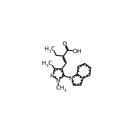 CCC(=Cc1c(C)nn(C)c1-n1ccc2ccccc21)C(=O)O